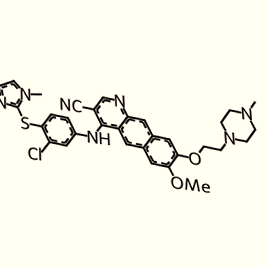 COc1cc2cc3c(Nc4ccc(Sc5nccn5C)c(Cl)c4)c(C#N)cnc3cc2cc1OCCN1CCN(C)CC1